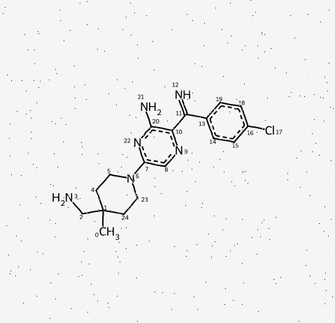 CC1(CN)CCN(c2cnc(C(=N)c3ccc(Cl)cc3)c(N)n2)CC1